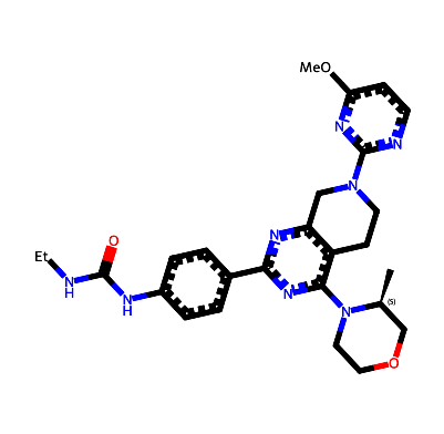 CCNC(=O)Nc1ccc(-c2nc3c(c(N4CCOC[C@@H]4C)n2)CCN(c2nccc(OC)n2)C3)cc1